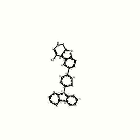 ClC1=CNCc2oc3ccc(-c4ccc(-n5c6ccccc6c6ccccc65)cc4)cc3c21